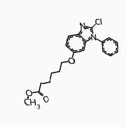 COC(=O)CCCCCOc1ccc2nc(Cl)n(-c3ccccc3)c2c1